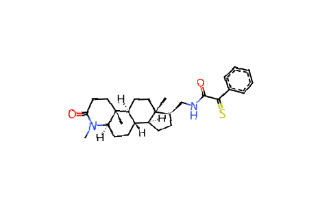 CN1C(=O)CC[C@]2(C)[C@H]3CC[C@]4(C)[C@@H](CNC(=O)C(=S)c5ccccc5)CC[C@H]4[C@@H]3CC[C@@H]12